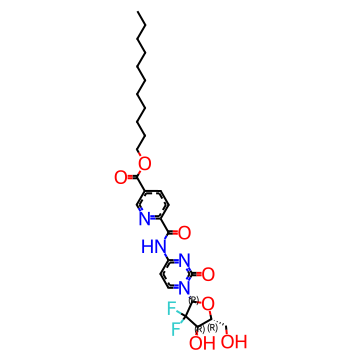 CCCCCCCCCCCOC(=O)c1ccc(C(=O)Nc2ccn([C@@H]3O[C@H](CO)[C@@H](O)C3(F)F)c(=O)n2)nc1